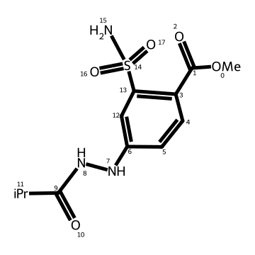 COC(=O)c1ccc(NNC(=O)C(C)C)cc1S(N)(=O)=O